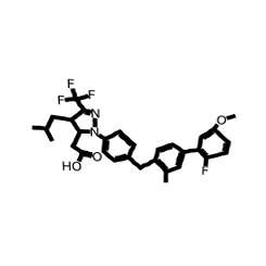 COc1ccc(F)c(-c2ccc(Cc3ccc(N4N=C(C(F)(F)F)C(CC(C)C)C4CC(=O)O)cc3)c(C)c2)c1